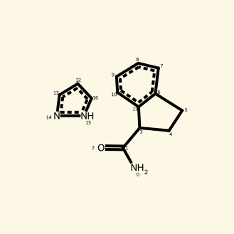 NC(=O)C1CCc2ccccc21.c1cn[nH]c1